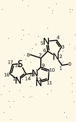 CCn1ccnc1C(C)c1ccnn1-c1nccs1